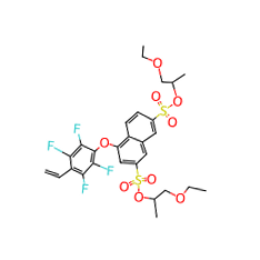 C=Cc1c(F)c(F)c(Oc2cc(S(=O)(=O)OC(C)COCC)cc3cc(S(=O)(=O)OC(C)COCC)ccc23)c(F)c1F